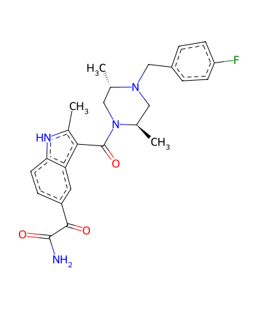 Cc1[nH]c2ccc(C(=O)C(N)=O)cc2c1C(=O)N1C[C@H](C)N(Cc2ccc(F)cc2)C[C@H]1C